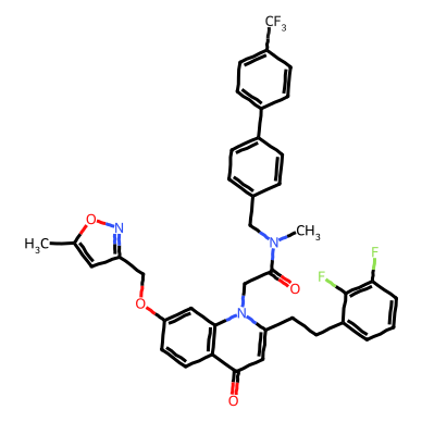 Cc1cc(COc2ccc3c(=O)cc(CCc4cccc(F)c4F)n(CC(=O)N(C)Cc4ccc(-c5ccc(C(F)(F)F)cc5)cc4)c3c2)no1